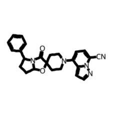 N#Cc1ccc(N2CCC3(CC2)OC2CCC(c4ccccc4)N2C3=O)c2ccnn12